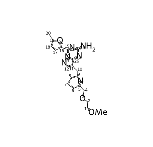 COCCOCc1cccc(Cc2cnn3c(-c4ccc(C)o4)nc(N)nc23)n1